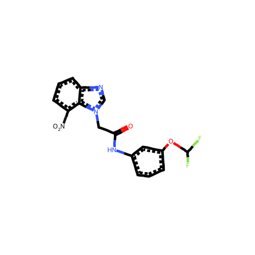 O=C(Cn1cnc2cccc([N+](=O)[O-])c21)Nc1cccc(OC(F)F)c1